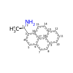 C[C@@H](N)c1ccc2ccc3cccc4ccc1c2c34